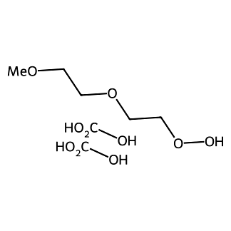 COCCOCCOO.O=C(O)O.O=C(O)O